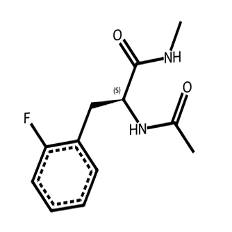 CNC(=O)[C@H](Cc1ccccc1F)NC(C)=O